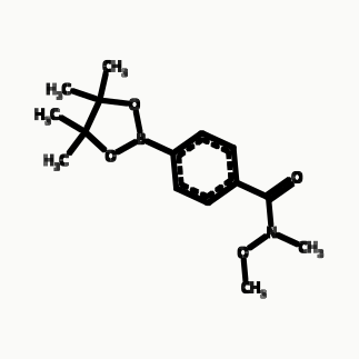 CON(C)C(=O)c1ccc(B2OC(C)(C)C(C)(C)O2)cc1